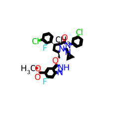 COC(=O)c1cc2c(OC[C@H]3C[C@H](c4cccc(Cl)c4F)[C@](C)(C(=O)Nc4cccc(Cl)c4)N3CC3CC3)[nH]nc2cc1F